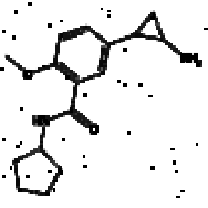 COc1ccc(C2CC2N)cc1C(=O)NC1CCCC1